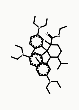 CCOC(=O)C1(C)CCC(C(C)C)C(c2cc(N(CC)CC)ccc2C)C1(c1cc(N(CC)CC)ccc1C)c1cc(N(CC)CC)ccc1C